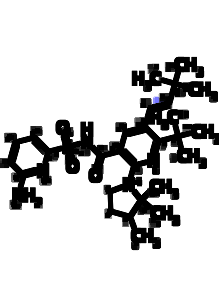 CC1CCN(c2nc(C(C)(C)C)c(/C=C/C(C)(C)C)cc2C(=O)NS(=O)(=O)c2cccc(N)n2)C1(C)C